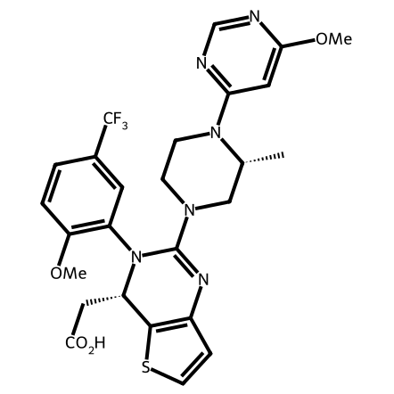 COc1cc(N2CCN(C3=Nc4ccsc4[C@H](CC(=O)O)N3c3cc(C(F)(F)F)ccc3OC)C[C@H]2C)ncn1